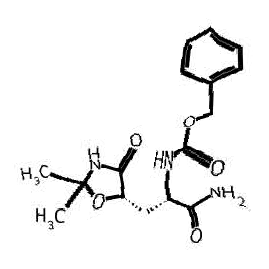 CC1(C)NC(=O)[C@H](C[C@H](NC(=O)OCc2ccccc2)C(N)=O)O1